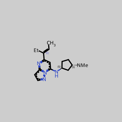 C/C=C(\CC)c1cc(N[C@H]2CC[C@H](NC)C2)n2nccc2n1